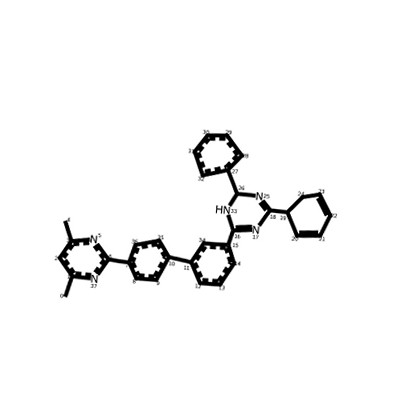 Cc1cc(C)nc(-c2ccc(-c3cccc(C4=NC(C5C=CC=CC5)=NC(c5ccccc5)N4)c3)cc2)n1